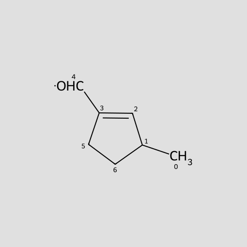 CC1C=C([C]=O)CC1